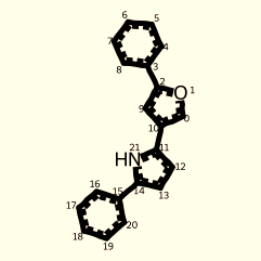 [c]1oc(-c2ccccc2)cc1-c1ccc(-c2ccccc2)[nH]1